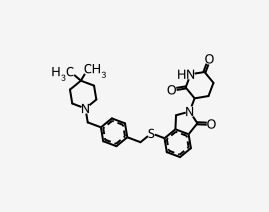 CC1(C)CCN(Cc2ccc(CSc3cccc4c3CN(C3CCC(=O)NC3=O)C4=O)cc2)CC1